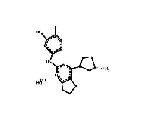 Cc1ccc(Nc2nc3c(c(N4CC[C@H](N)C4)n2)CCC3)cc1C#N.Cl.Cl